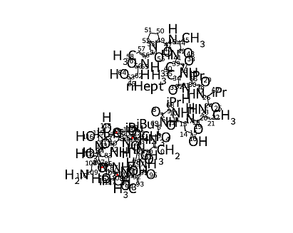 C=C(NC(=O)[C@@H](NC(=O)[C@@H](NC(=O)[C@H](CCO)NC(=O)/C(=C/C)NC(=O)[C@@H](NC(=O)[C@@H](NC(=O)[C@H](C)NC(=O)[C@H](C)NC(=O)[C@H](C)NC(=O)[C@@H]1CCCN1C(=O)/C(=C/C)NC(=O)CC(O)CCCCCCC)C(C)C)C(C)C)C(C)C)[C@H](C)CC)C(=O)N[C@@H](C)C(=O)N[C@@H](C)C(=O)N[C@@H](C)C(=O)N[C@H](C(=O)N/C(=C\C)C(=O)N[C@@H]1C(O)=N[C@@H](C)C(O)=N[C@@H](CCN)C(O)=N[C@@H](CO)C(O)=N[C@@H]([C@@H](C)CC)C(=O)O[C@H]1C)C(C)C